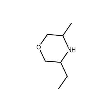 CCC1COCC(C)N1